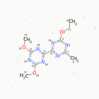 CCOc1nc(C)nc(-c2nc(OC)nc(OC)n2)n1